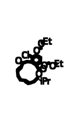 CCOCOc1cc(OCOCC)c2c(c1Cl)CC(=O)/C=C/CC/C=C/C[C@@H](C(C)C)OC2=O